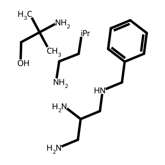 CC(C)(N)CO.CC(C)CCN.NCC(N)CNCc1ccccc1